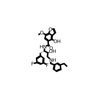 CCc1cccc(CNC[C@@H](O)[C@H](Cc2cc(F)cc(F)c2)NC(=O)c2cc(OC)c3occc3c2O)c1